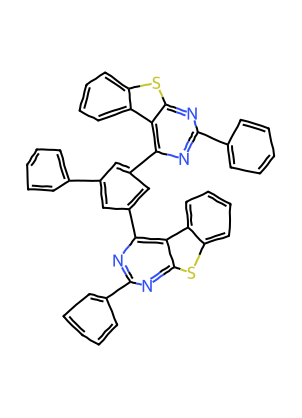 c1ccc(-c2cc(-c3nc(-c4ccccc4)nc4sc5ccccc5c34)cc(-c3nc(-c4ccccc4)nc4sc5ccccc5c34)c2)cc1